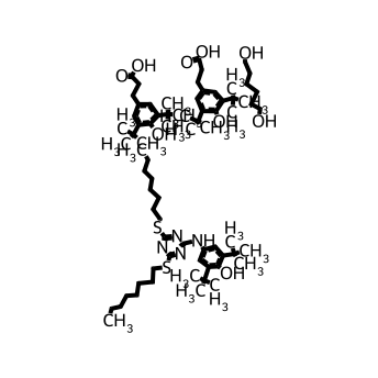 CC(C)(C)c1cc(CCC(=O)O)cc(C(C)(C)C)c1O.CC(C)(C)c1cc(CCC(=O)O)cc(C(C)(C)C)c1O.CCCCCCCCSc1nc(Nc2cc(C(C)(C)C)c(O)c(C(C)(C)C)c2)nc(SCCCCCCCC)n1.OCCCCCCO